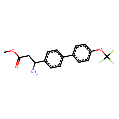 COC(=O)CC(N)c1ccc(-c2ccc(OC(F)(F)F)cc2)cc1